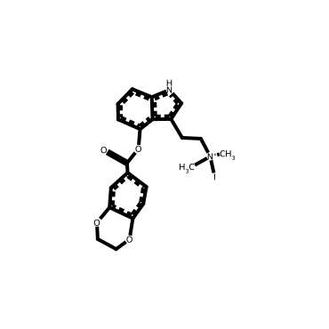 C[N+](C)(I)CCc1c[nH]c2cccc(OC(=O)c3ccc4c(c3)OCCO4)c12